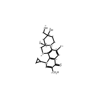 O=C(O)c1cn(C2CC2)c2c3c(c(F)cc2c1=O)N1CCC(O)(CO)C[C@H]1CO3